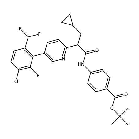 CC(C)(C)OC(=O)c1ccc(NC(=O)C(CC2CC2)c2ccc(-c3c(C(F)F)ccc(Cl)c3F)cn2)cc1